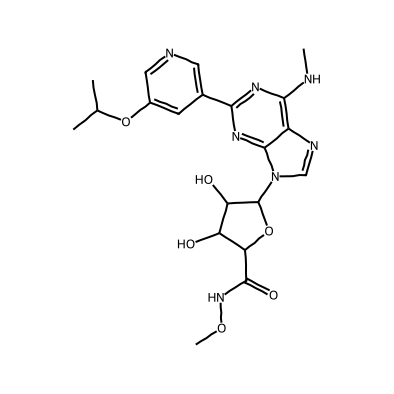 CNc1nc(-c2cncc(OC(C)C)c2)nc2c1ncn2C1OC(C(=O)NOC)C(O)C1O